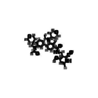 CCN(c1c(-c2ccc3c(c2)N(C(C)=O)CC32CCOCC2)ccc(C(=O)NCC2=C(OC)C=C(C)NC2=C=O)c1C)C1CCOCC1